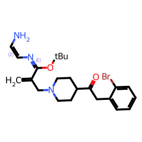 C=C(CN1CCC(C(=O)Cc2ccccc2Br)CC1)/C(=N\C=C/N)OC(C)(C)C